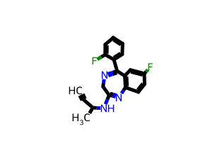 C#CC(C)NC1=Nc2ccc(F)cc2C(c2ccccc2F)=NC1